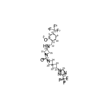 COc1cc(C(F)(F)F)ccc1CNC1CN(C(=O)N2CC3(CC(n4cnc(C(F)(F)F)n4)C3)C2)C1